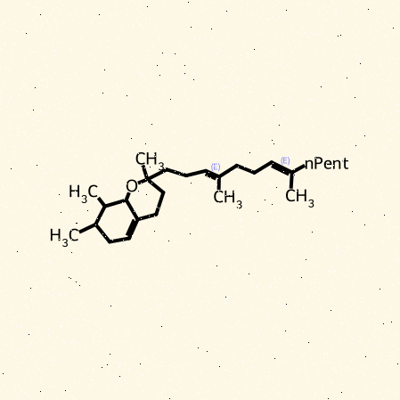 CCCCC/C(C)=C/CC/C(C)=C/CCC1(C)CCC2=CCC(C)C(C)C2O1